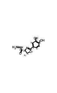 C[C@H]1OC(c2ccc(O)c(O)c2)=N[C@H]1C(=O)NN